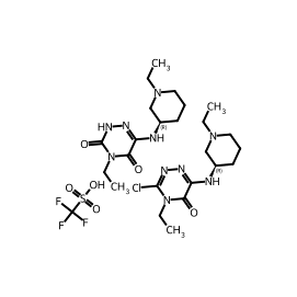 CCN1CCC[C@@H](Nc2n[nH]c(=O)n(CC)c2=O)C1.CCN1CCC[C@@H](Nc2nnc(Cl)n(CC)c2=O)C1.O=S(=O)(O)C(F)(F)F